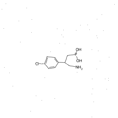 NCC(CP(O)O)c1ccc(Cl)cc1